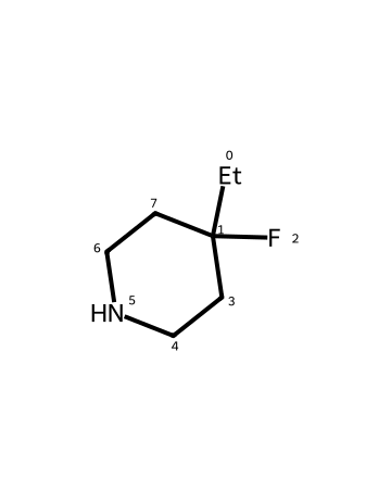 CCC1(F)CCNCC1